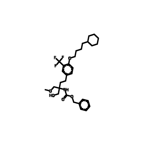 COCC(CO)(CCc1ccc(OCCCCC2CCCCC2)c(C(F)(F)F)c1)NC(=O)OCc1ccccc1